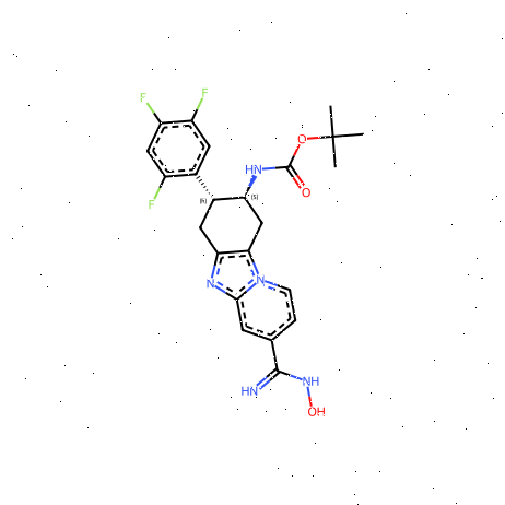 CC(C)(C)OC(=O)N[C@H]1Cc2c(nc3cc(C(=N)NO)ccn23)C[C@@H]1c1cc(F)c(F)cc1F